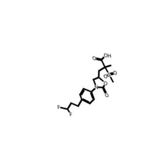 CC(CC1CN(c2ccc(CCC(F)F)cc2)C(=O)O1)(C(=O)O)S(C)(=O)=O